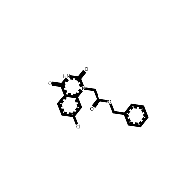 O=C(Cn1c(=O)[nH]c(=O)c2ccc(Cl)cc21)OCc1ccccc1